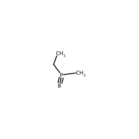 B#P(C)CC